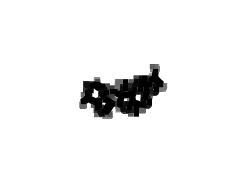 Cc1ncnn2c([C@@H]3O[C@@H]4COP(=O)(NC(C)C)O[C@H]4[C@@]3(C)F)cnc12